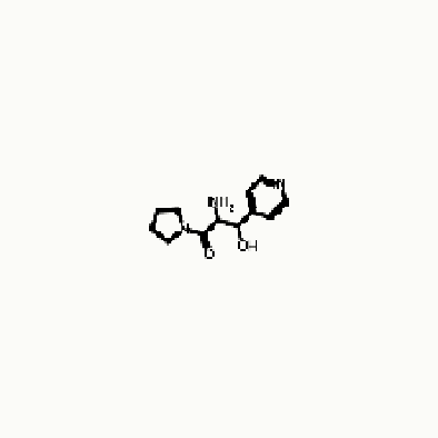 N[C@H](C(=O)N1CCCC1)[C@H](O)c1ccncc1